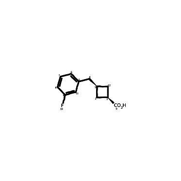 O=C(O)[C@H]1C[C@@H](Cc2cc[c]c(F)c2)C1